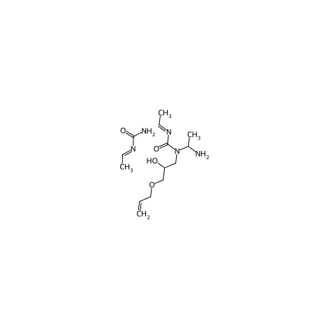 C=CCOCC(O)CN(C(=O)N=CC)C(C)N.CC=NC(N)=O